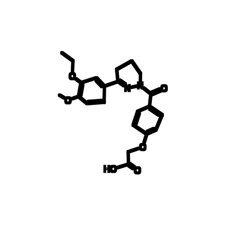 CCOc1cc(C2=NN(C(=O)c3ccc(OCC(=O)O)cc3)CCC2)ccc1OC